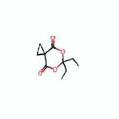 CCC1(CC)OC(=O)C2(CC2)C(=O)O1